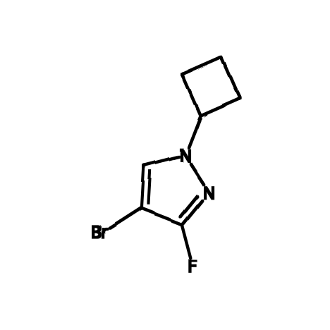 Fc1nn(C2CCC2)cc1Br